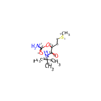 CSCCC(OC(N)=O)C(=O)NC(C)(C)C